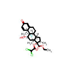 CCOC(=O)[C@@]1(OC(=O)C(Cl)Cl)[C@@H](C)C[C@H]2[C@@H]3CCC4=CC(=O)C=C[C@]4(C)[C@@]3(F)[C@@H](O)C[C@@]21C